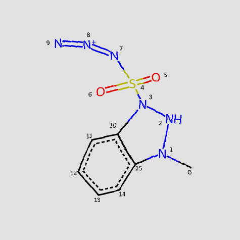 CN1NN(S(=O)(=O)N=[N+]=[N-])c2ccccc21